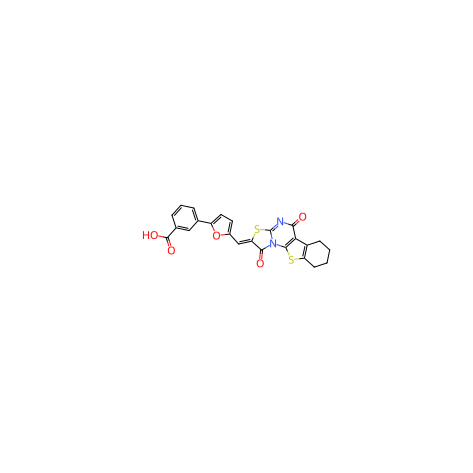 O=C(O)c1cccc(-c2ccc(C=c3sc4nc(=O)c5c6c(sc5n4c3=O)CCCC6)o2)c1